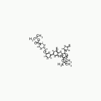 CC(C)OC(=O)N1CCC(COc2cccc(-c3ccc(C[C@H](NC(=O)OC(C)(C)C)C(=O)N4CC[C@H](F)C4)c(F)c3)c2)CC1